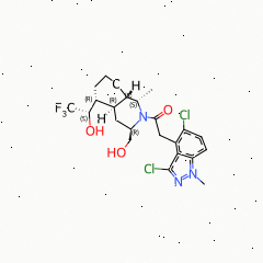 C[C@H]1[C@H]2CCC[C@@H]([C@H](O)C(F)(F)F)[C@@H]2C[C@H](CO)N1C(=O)Cc1c(Cl)ccc2c1c(Cl)nn2C